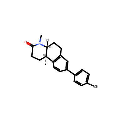 CN1C(=O)CC[C@]2(C)c3ccc(-c4ccc(C#N)cc4)cc3CC[C@@H]12